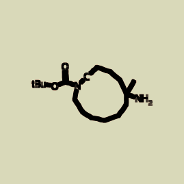 CC1(N)CCCCCCN(C(=O)OC(C)(C)C)CCCC1